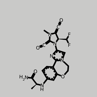 C[C@H](Nc1ccc2c(c1)OCCn1cc(N3C(=C=O)N(C)C(=C=O)[C@H]3C(F)F)nc1-2)C(N)=O